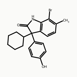 Cc1ccc2c(c1Br)NC(=O)C2(c1ccc(O)cc1)C1CCCCC1